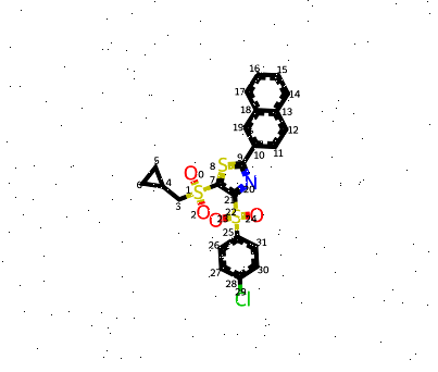 O=S(=O)(CC1CC1)c1sc(-c2ccc3ccccc3c2)nc1S(=O)(=O)c1ccc(Cl)cc1